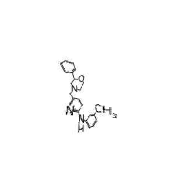 Cc1cccc(Nc2ccc(CN3CCOC(c4ccccc4)C3)cn2)c1